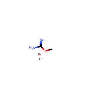 COC(=N)N.[Br-].[H+]